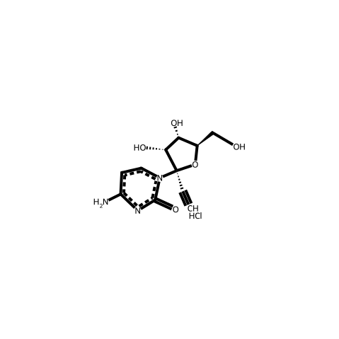 C#C[C@@]1(n2ccc(N)nc2=O)O[C@H](CO)[C@@H](O)[C@H]1O.Cl